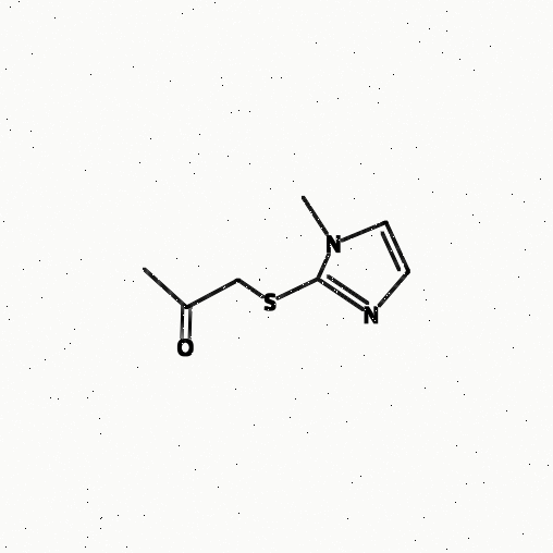 CC(=O)CSc1nccn1C